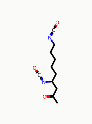 CC(=O)CC(CCCCCN=C=O)N=C=O